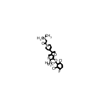 C[C@@H](Oc1c(N)ncc2c(C3=CCN(C(=O)CN(C)C)CC3)coc12)c1c(Cl)ccc(F)c1Cl